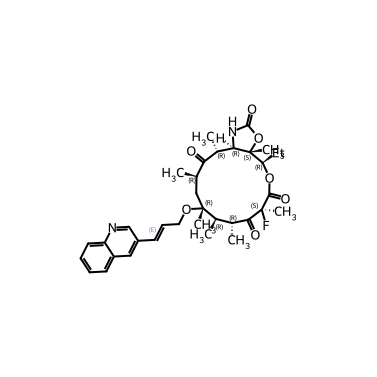 CC[C@H]1OC(=O)[C@@](C)(F)C(=O)[C@H](C)[C@@H](C)[C@](C)(OC/C=C/c2cnc3ccccc3c2)C[C@@H](C)C(=O)[C@H](C)[C@H]2NC(=O)O[C@@]21C